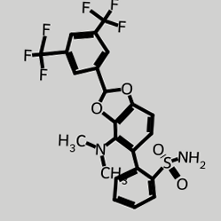 CN(C)c1c(-c2ccccc2S(N)(=O)=O)ccc2c1OC(c1cc(C(F)(F)F)cc(C(F)(F)F)c1)O2